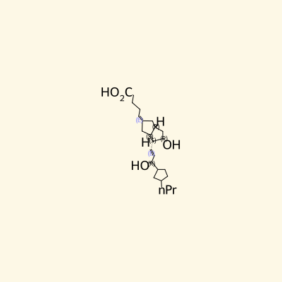 CCCC1CCC([C@@H](O)/C=C/[C@@H]2[C@H]3C/C(=C/CCCC(=O)O)C[C@@H]3C[C@H]2O)C1